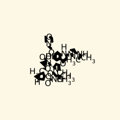 C=C[C@@H]1C[C@]1(NC(=O)[C@@H]1C[C@@H](OC2=CC(n3ccc(NC(C)C)n3)Nc3cc(OCCN4CCOCC4)ccc32)CN1C(=O)[C@@H](NC(=O)OC1CC2C[C@H]2C1)C(C)(C)C)C(=O)O